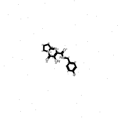 O=C(NCc1ccc(F)cc1)c1nc2n(c(=O)c1O)CCC2